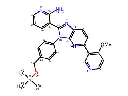 COc1ccncc1-c1ccc2nc(-c3cccnc3N)n(-c3ccc(CO[Si](C)(C)C(C)(C)C)cc3)c2n1